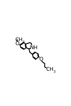 CCCCOc1ccc(CC2NCCc3cc(OC)ccc32)cc1